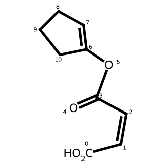 O=C(O)/C=C\C(=O)OC1=CCCC1